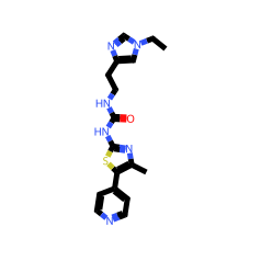 CCn1cnc(CCNC(=O)Nc2nc(C)c(-c3ccncc3)s2)c1